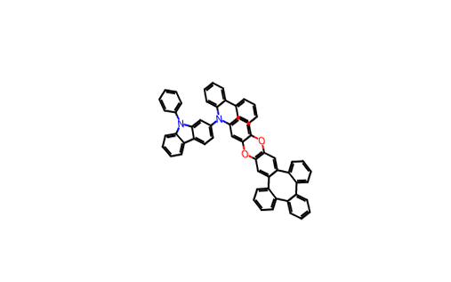 c1ccc(-c2ccccc2N(c2ccc3oc4cc5c6ccccc6c6ccccc6c6ccccc6c5cc4oc3c2)c2ccc3c4ccccc4n(-c4ccccc4)c3c2)cc1